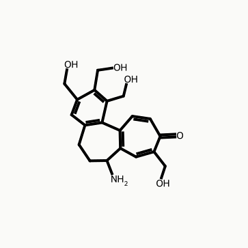 NC1CCc2cc(CO)c(CO)c(CO)c2-c2ccc(=O)c(CO)cc21